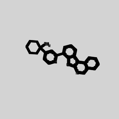 BC1(c2ccnc(-c3cccc4c3oc3ncc5ccccc5c34)c2)CCCCC1